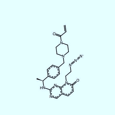 C=CC(=O)N1CCN(Cc2ccc([C@H](C)Nc3ncc4ccc(=O)n(CCN=[N+]=[N-])c4n3)cc2)CC1